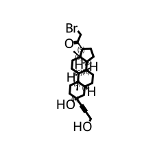 C[C@]12CC[C@](O)(C#CCO)C[C@H]1CC[C@@H]1[C@@H]2CC[C@]2(C)[C@@H](C(=O)CBr)CC[C@@H]12